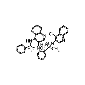 CC(N)c1ccccc1.CC(Nc1c([N+](=O)[O-])cnc2ccccc12)c1ccccc1.O=[N+]([O-])c1cnc2ccccc2c1Cl